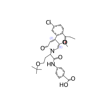 CCC(=O)c1ccc(Cl)cc1C(=C/C=O)/C(=C\N(C)C(CCOC(C)(C)C)C(=O)Nc1ccc(C(=O)O)cc1)OC